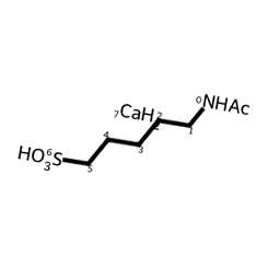 CC(=O)NCCCCCS(=O)(=O)O.[CaH2]